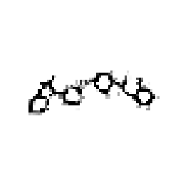 Cc1nc2cccnn2c1-c1ccnc(Nc2ccc(C(=O)Nc3ccccc3N)cc2)n1